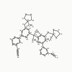 [C-]#[N+]c1cccc(-c2cc(CC3(C)CCCC3)cc(C(C)(C)c3cc(CC4(C)CCCC4)cc(-c4cccc(C#N)c4)n3)n2)c1